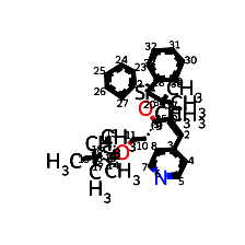 CC(=Cc1ccncc1)[C@H](CCO[Si](C)(C)C(C)(C)C)O[Si](c1ccccc1)(c1ccccc1)C(C)(C)C